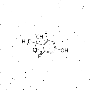 CC(C)(C)c1c(F)cc(O)cc1F